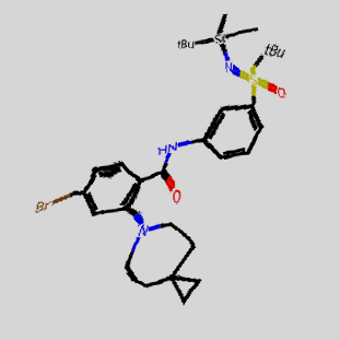 CC(C)(C)[Si](C)(C)N=S(=O)(c1cccc(NC(=O)c2ccc(Br)cc2N2CCC3(CC2)CC3)c1)C(C)(C)C